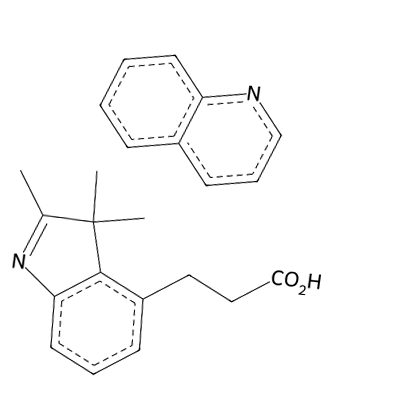 CC1=Nc2cccc(CCC(=O)O)c2C1(C)C.c1ccc2ncccc2c1